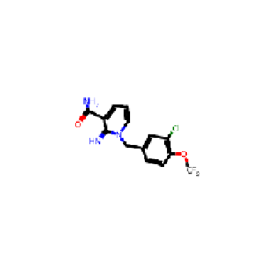 N=c1c(C(N)=O)cccn1Cc1ccc(OC(F)(F)F)c(Cl)c1